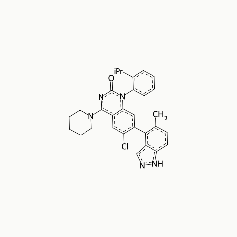 Cc1ccc2[nH]ncc2c1-c1cc2c(cc1Cl)c(N1CCCCC1)nc(=O)n2-c1ccccc1C(C)C